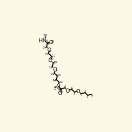 CCCCOCCOCC(=O)N(C)CCCCOCCOCCOCC(=O)NC